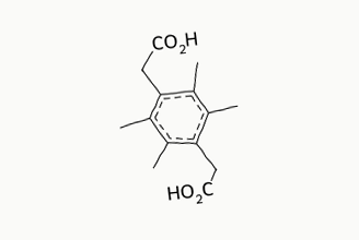 Cc1c(C)c(CC(=O)O)c(C)c(C)c1CC(=O)O